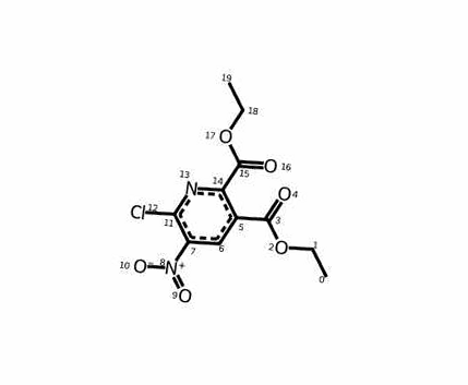 CCOC(=O)c1cc([N+](=O)[O-])c(Cl)nc1C(=O)OCC